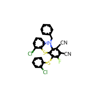 N#Cc1c(F)c(Sc2ccccc2Cl)c(Sc2ccccc2Cl)c(NCc2ccccc2)c1C#N